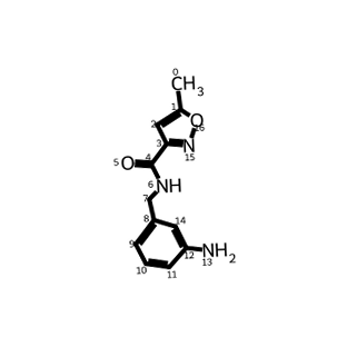 Cc1cc(C(=O)NCc2cccc(N)c2)no1